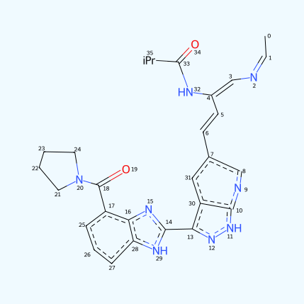 C\C=N/C=C(\C=C\c1cnc2[nH]nc(-c3nc4c(C(=O)N5CCCC5)cccc4[nH]3)c2c1)NC(=O)C(C)C